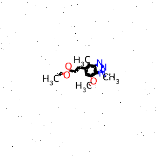 CCOC(=O)/C=C/c1cc(OC)c2c(nnn2C)c1C